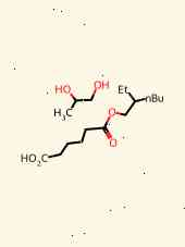 CC(O)CO.CCCCC(CC)COC(=O)CCCCC(=O)O